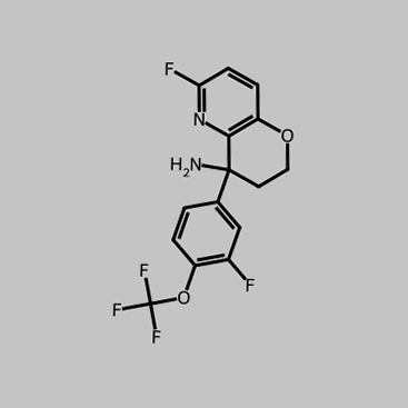 NC1(c2ccc(OC(F)(F)F)c(F)c2)CCOc2ccc(F)nc21